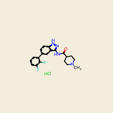 CN1CCC(C(=O)Nc2n[nH]c3ccc(-c4cccc(F)c4F)cc23)CC1.Cl